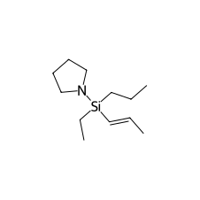 CC=C[Si](CC)(CCC)N1CCCC1